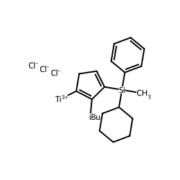 CCC(C)C1=[C]([Ti+3])CC=C1[Si](C)(c1ccccc1)C1CCCCC1.[Cl-].[Cl-].[Cl-]